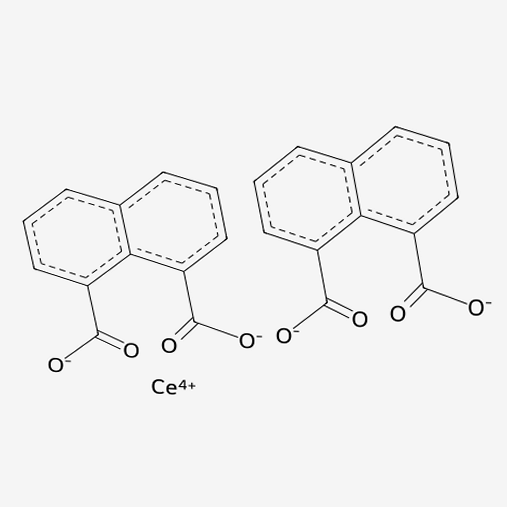 O=C([O-])c1cccc2cccc(C(=O)[O-])c12.O=C([O-])c1cccc2cccc(C(=O)[O-])c12.[Ce+4]